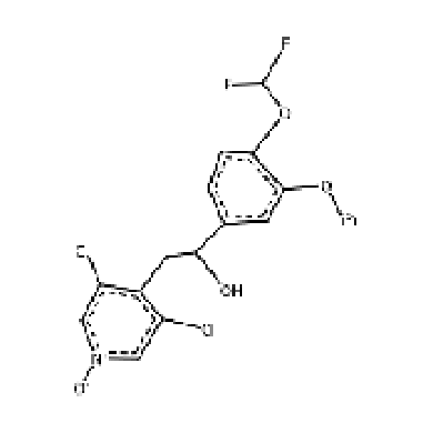 CC(C)Oc1cc(C(O)Cc2c(Cl)c[n+]([O-])cc2Cl)ccc1OC(F)F